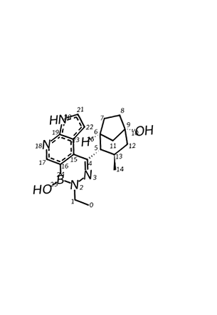 CCN1N=C([C@@H]2[C@H]3CC[C@](O)(C3)C[C@H]2C)c2c(cnc3[nH]ccc23)B1O